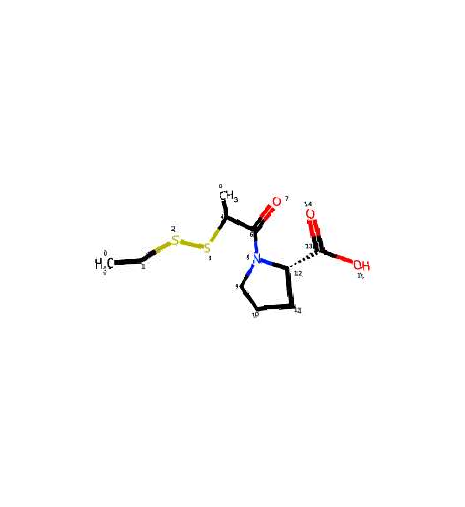 CCSSC(C)C(=O)N1CCC[C@H]1C(=O)O